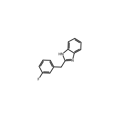 Fc1cccc(Cc2nc3ccccc3[nH]2)c1